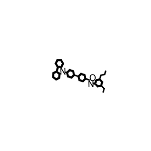 CCCc1cc(CC)cc2nc(-c3ccc(-c4ccc(-n5c6ccccc6c6ccccc65)cc4)cc3)oc12